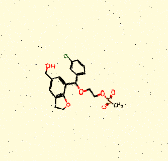 CS(=O)(=O)OCCOC(c1cccc(Cl)c1)c1cc(CO)cc2c1OCC2